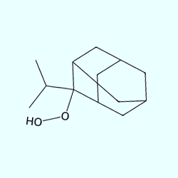 CC(C)C1(OO)C2CC3CC(C2)CC1C3